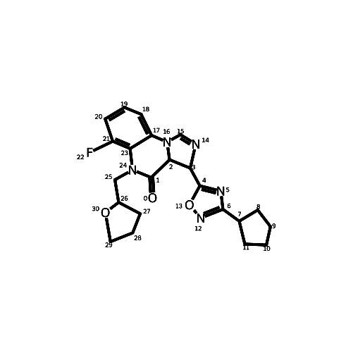 O=C1C2C(c3nc(C4CCCC4)no3)N=CN2c2cccc(F)c2N1CC1CCCO1